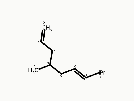 C=CCC(C)CC=CC(C)C